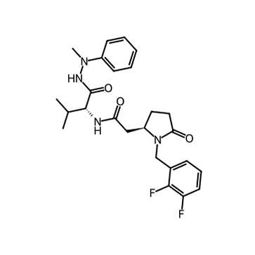 CC(C)[C@@H](NC(=O)C[C@H]1CCC(=O)N1Cc1cccc(F)c1F)C(=O)NN(C)c1ccccc1